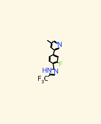 Cc1[c]ncc(-c2ccc(-c3ncc(C(F)(F)F)[nH]3)c(F)c2)c1